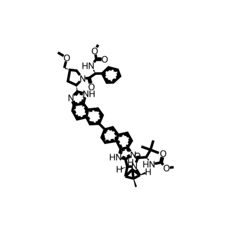 COC[C@H]1C[C@@H](c2nc3ccc4cc(-c5ccc6c(ccc7nc([C@@H]8C9[C@@H]%10[C@H](N8C(=O)[C@@H](NC(=O)OC)C(C)(C)C)[C@]9%10C)[nH]c76)c5)ccc4c3[nH]2)N(C(=O)[C@H](NC(=O)OC)c2ccccc2)C1